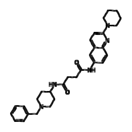 O=C(CCC(=O)NC1CCN(Cc2ccccc2)CC1)Nc1ccc2nc(N3CCCCC3)ccc2c1